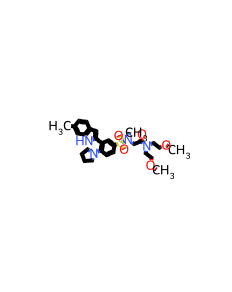 COCCN(CCOC)C(=O)CN(C)S(=O)(=O)c1ccc(N2CCCC2)c(-c2cc3ccc(C)cc3[nH]2)c1